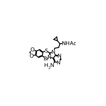 CC(=O)NC(CCn1c(Sc2cc3c(cc2Br)OCO3)nc2c(N)ncnc21)C1CC1